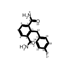 NC(=O)c1cccc(C(N)=O)c1Cc1ccc(F)cc1